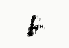 CCOC(=O)CNC(=O)CN(CCOCCOCCOCCOC)C(=O)CCC(=O)ON1C(=O)CCC1=O